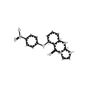 O=c1c2c(Oc3ccc([N+](=O)[O-])cc3)cccc2nc2sccn12